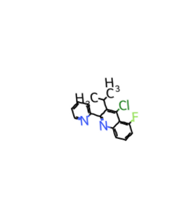 CC(C)c1c(-c2ccccn2)nc2cccc(F)c2c1Cl